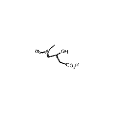 CN(CC(O)CC(=O)O)C(C)(C)C